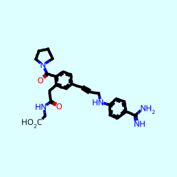 N=C(N)c1ccc(NCC#Cc2ccc(C(=O)N3CCCC3)c(CC(=O)NCC(=O)O)c2)cc1